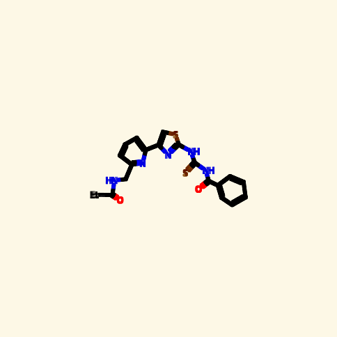 CCC(=O)NCc1cccc(-c2csc(NC(=S)NC(=O)c3ccccc3)n2)n1